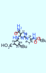 CC(C)(C)OC(=O)N[C@H]1CCCN(c2ncc(C(N)=O)c(Nc3cc(C(=O)O)cc(C(C)(C)C)c3)n2)C1